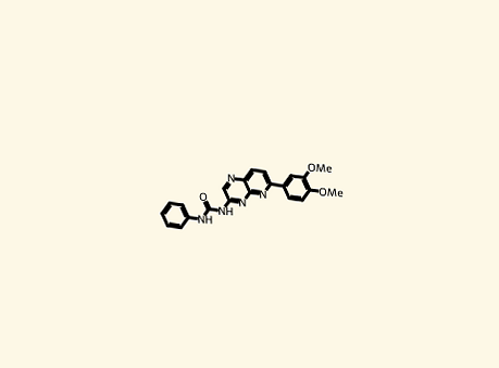 COc1ccc(-c2ccc3ncc(NC(=O)Nc4ccccc4)nc3n2)cc1OC